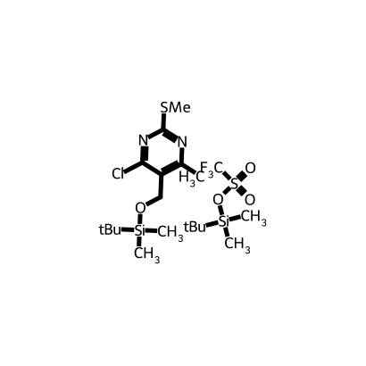 CC(C)(C)[Si](C)(C)OS(=O)(=O)C(F)(F)F.CSc1nc(C)c(CO[Si](C)(C)C(C)(C)C)c(Cl)n1